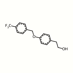 OCCc1ccc(OCc2ccc(C(F)(F)F)cc2)cc1